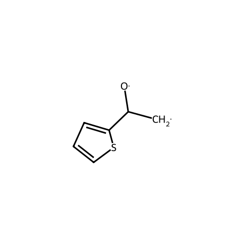 [CH2]C([O])c1cccs1